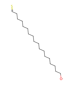 [O]CCCCCCCCCCCCCCCCCC=S